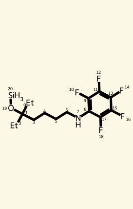 CCC(CC)(CCCCNc1c(F)c(F)c(F)c(F)c1F)O[SiH3]